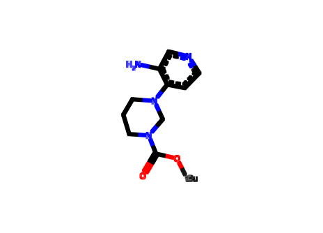 CC(C)(C)OC(=O)N1CCCN(c2ccncc2N)C1